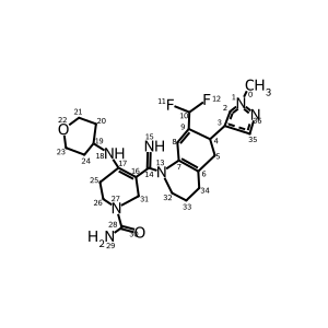 Cn1cc(C2CC3=C(C=C2C(F)F)N(C(=N)C2=C(NC4CCOCC4)CCN(C(N)=O)C2)CCC3)cn1